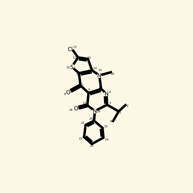 CC(C)c1nc2c(c(=O)c3sc(Cl)cc3n2C)c(=O)n1-c1ccccc1